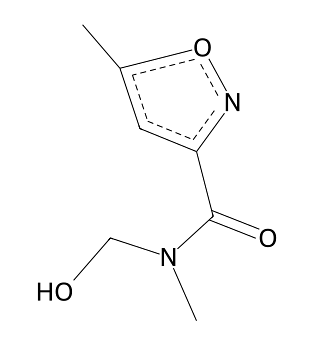 Cc1cc(C(=O)N(C)CO)no1